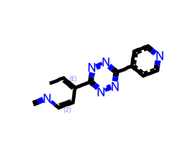 C=N/C=C\C(=C/C)c1nnc(-c2ccncc2)nn1